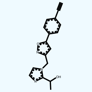 C#Cc1ccc(-c2cc(Cn3ccnc3C(C)O)no2)cc1